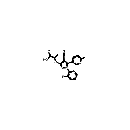 CC(Oc1nn(-c2ncccc2F)c(-c2ccc(F)nc2)c1C#N)C(=O)O